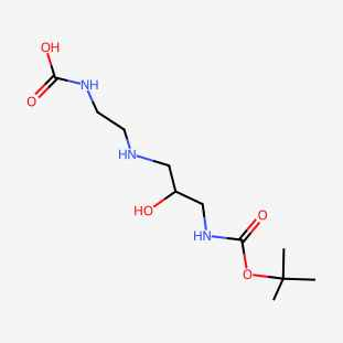 CC(C)(C)OC(=O)NCC(O)CNCCNC(=O)O